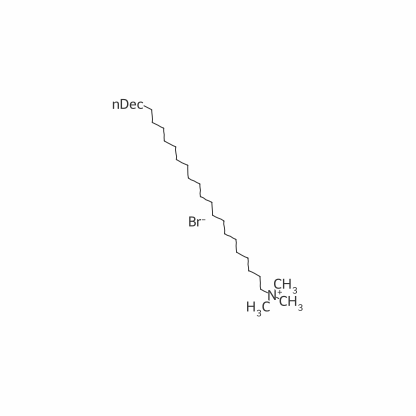 CCCCCCCCCCCCCCCCCCCCCCCCCCCCCC[N+](C)(C)C.[Br-]